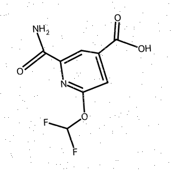 NC(=O)c1cc(C(=O)O)cc(OC(F)F)n1